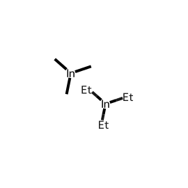 C[CH2][In]([CH2]C)[CH2]C.[CH3][In]([CH3])[CH3]